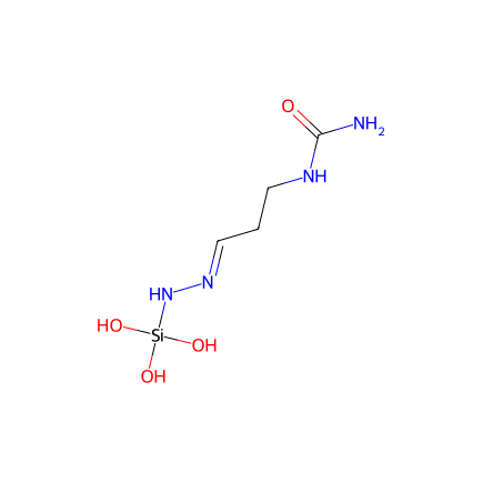 NC(=O)NCCC=NN[Si](O)(O)O